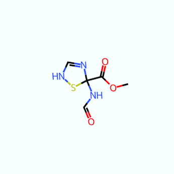 COC(=O)C1(NC=O)N=CNS1